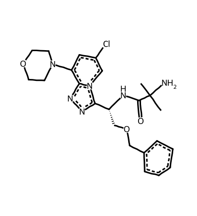 CC(C)(N)C(=O)N[C@H](COCc1ccccc1)c1nnc2c(N3CCOCC3)cc(Cl)cn12